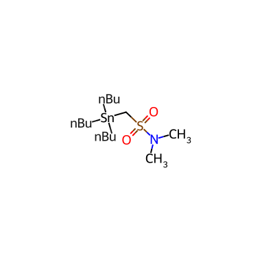 CCC[CH2][Sn]([CH2]CCC)([CH2]CCC)[CH2]S(=O)(=O)N(C)C